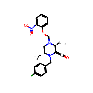 C[C@@H]1CN(COc2ccccc2[N+](=O)[O-])[C@@H](C)C(=C=O)N1Cc1ccc(F)cc1